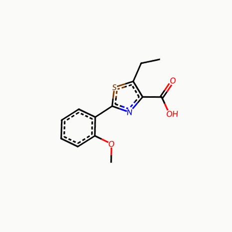 CCc1sc(-c2ccccc2OC)nc1C(=O)O